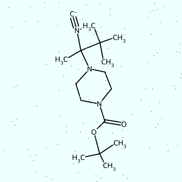 [C-]#[N+]C(C)(N1CCN(C(=O)OC(C)(C)C)CC1)C(C)(C)C